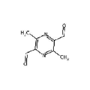 Cc1nc(C=O)c(C)nc1C=O